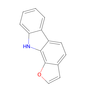 c1ccc2c(c1)[nH]c1c2ccc2ccoc21